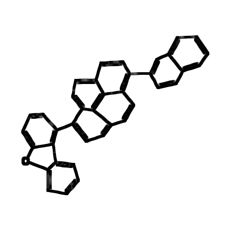 c1ccc2cc(-c3ccc4ccc5c(-c6cccc7oc8ccccc8c67)ccc6ccc3c4c65)ccc2c1